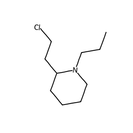 CCCN1CCCCC1CCCl